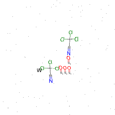 N#CC(Cl)(Cl)Cl.N#CC(Cl)(Cl)Cl.[C]=O.[C]=O.[C]=O.[C]=O.[W]